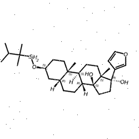 CC(C)C(C)(C)[SiH2]O[C@H]1CC[C@@]2(C)[C@H](CC[C@@H]3[C@@H]2CC[C@]2(C)[C@@](O)(c4ccoc4)CC[C@]32O)C1